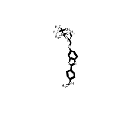 CC[C@@H](COc1ccc2nc(-c3ccc(NC)cc3)sc2c1)O[Si](C)(C)C(C)(C)C